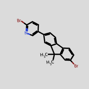 CC1(C)c2cc(Br)ccc2-c2ccc(-c3ccc(Br)nc3)cc21